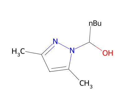 CCCCC(O)n1nc(C)cc1C